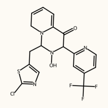 O=C1C2=CC=CCN2C(Cc2cnc(Cl)s2)N(O)C1c1cc(C(F)(F)F)ccn1